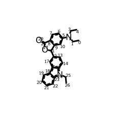 CCN(CC)c1ccc2c(c1)C(c1ccc3c(c1)c1ccccc1n3CC)OC2=O